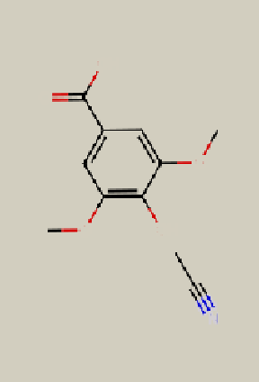 CC#N.COc1cc(C(=O)O)cc(OC)c1O